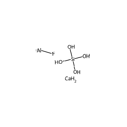 O[Si](O)(O)O.[CaH2].[F][Al]